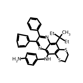 CCC(C)(CC)c1c2c(c(Nc3ccc(N)cc3)c3nc(-c4ccccc4)c(-c4ccccc4)nc13)SCCS2